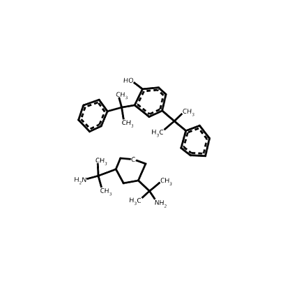 CC(C)(N)C1CCCC(C(C)(C)N)C1.CC(C)(c1ccccc1)c1ccc(O)c(C(C)(C)c2ccccc2)c1